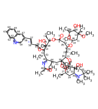 CC[C@H]1OC(=O)[C@H](C)[C@@H](O[C@H]2C[C@@](C)(OC)[C@@H](O)[C@H](C)O2)[C@H](C)[C@@H](O[C@@H]2O[C@H](C)C[C@H](N(C)C(C)(C)C)[C@H]2O)[C@](C)(OC)C[C@@H](C)/C(=N\C(C)=O)[C@H](C)[C@@H](OC/C=C/c2cnc3ccccc3c2)[C@]1(C)O